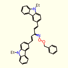 CCn1c2ccccc2c2cc(C=CC(C=Cc3ccc4c(c3)c3ccccc3n4CC)=NOOCc3ccccc3)ccc21